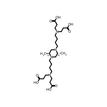 C[C@@H]1CN(CCCCN(CCC(=O)O)CCC(=O)O)[C@@H](C)CN1CCCCN(CCC(=O)O)CCC(=O)O